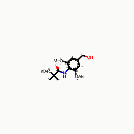 CCCCCCCCCCC(C)(C)C(=O)Nc1c(OC)cc(CO)cc1OC